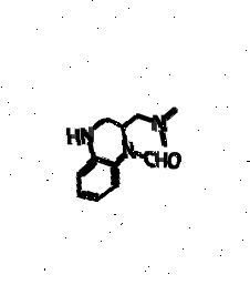 CN(C)CC1CNc2ccccc2N1C=O